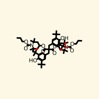 CCCOC(=O)N1C(C)(C)CC(OC(=O)C(Cc2cc(C(C)(C)C)c(O)c(C(C)(C)C)c2)(Cc2cc(C(C)(C)C)c(O)c(C(C)(C)C)c2)C(=O)OC2CC(C)(C)N(C(=O)OCCC)C(C)(C)C2)CC1(C)C